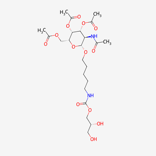 CC(=O)N[C@H]1[C@H](OCCCCCNC(=O)OC[C@H](O)CO)O[C@H](COC(C)=O)[C@H](OC(C)=O)[C@@H]1OC(C)=O